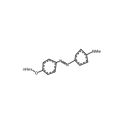 CCCCCCOc1ccc(N=Nc2ccc(NC)cc2)cc1